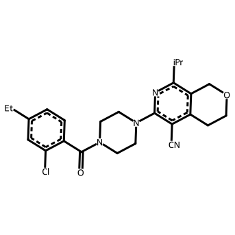 CCc1ccc(C(=O)N2CCN(c3nc(C(C)C)c4c(c3C#N)CCOC4)CC2)c(Cl)c1